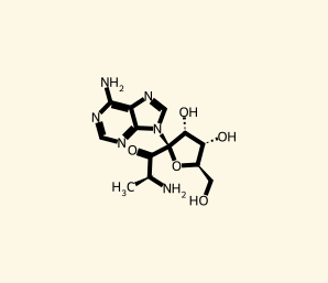 C[C@H](N)C(=O)[C@@]1(n2cnc3c(N)ncnc32)O[C@H](CO)[C@@H](O)[C@H]1O